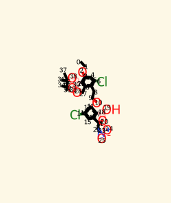 CCOc1cc(Cl)c(CCOc2cc(Cl)cc3c2B(O)OC3C[N+](=O)[O-])c(C=O)c1B1OC(C)(C)C(C)(C)O1